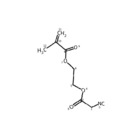 [C-]#[N+]CC(=O)OCCOC(=O)C(=C)C